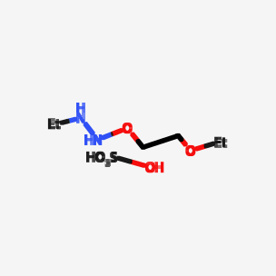 CCNNOCCOCC.O=S(=O)(O)O